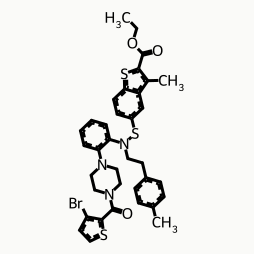 CCOC(=O)c1sc2ccc(SN(CCc3ccc(C)cc3)c3ccccc3N3CCN(C(=O)c4sccc4Br)CC3)cc2c1C